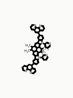 CC1c2cc3c4cc(-c5cc6cccnc6c6ncccc56)ccc4n(-c4cccnc4)c3c3c2-c2c(cc4c5cc(C6Cc7cccnc7-c7ncccc76)ccc5n(-c5cccnc5)c4c2C(C)C3C)C1C